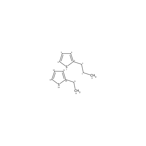 CCCc1cccs1.CCc1cccs1